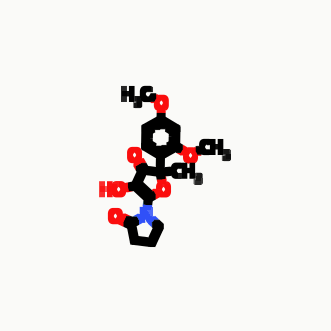 COc1ccc(C2(C)OC(N3CCCC3=O)=C(O)C2=O)c(OC)c1